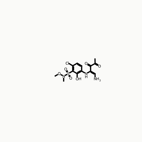 CON(C)S(=O)(=O)c1c(Cl)ccc(N/C(=C\N)C(=O)C(C)=O)c1O